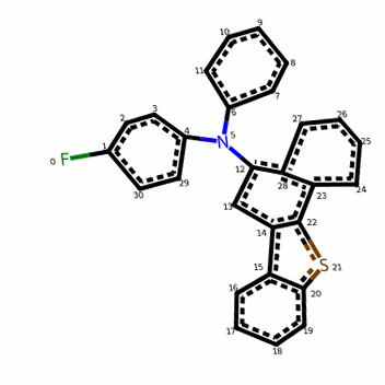 Fc1ccc(N(c2ccccc2)c2cc3c4ccccc4sc3c3ccccc23)cc1